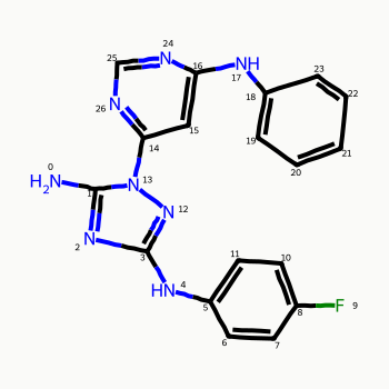 Nc1nc(Nc2ccc(F)cc2)nn1-c1cc(Nc2ccccc2)ncn1